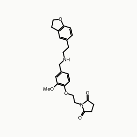 COc1cc(CNCCc2ccc3c(c2)CCO3)ccc1OCCN1C(=O)CCC1=O